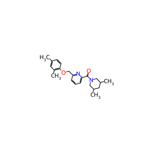 Cc1ccc(OCc2cccc(C(=O)N3CC(C)CC(C)C3)n2)c(C)c1